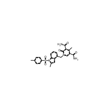 Cc1ccc(S(=O)(=O)n2c(C)cc3c(Cn4cc(C(N)=O)c(C)c(C(N)=O)c4=O)cccc32)cc1